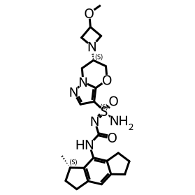 COC1CN([C@@H]2COc3c([S@@](N)(=O)=NC(=O)Nc4c5c(cc6c4[C@@H](C)CC6)CCC5)cnn3C2)C1